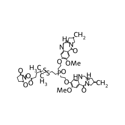 C=C1C[C@H]2CNc3cc(OCCP(=O)(CCOc4cc5c(cc4OC)C(=O)N4CC(=C)C[C@H]4C=N5)CCSSC(C)(C)CCC(=O)ON4C(=O)CCC4=O)c(OC)cc3C(=O)N2C1